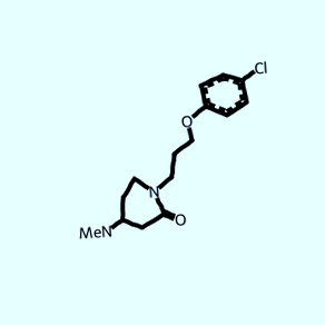 CNC1CCN(CCCOc2ccc(Cl)cc2)C(=O)C1